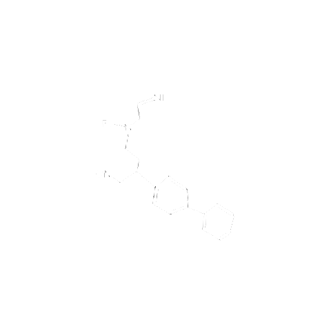 CCN(CC=N)CCC(CN=O)c1ccc(-c2ccccc2)cc1